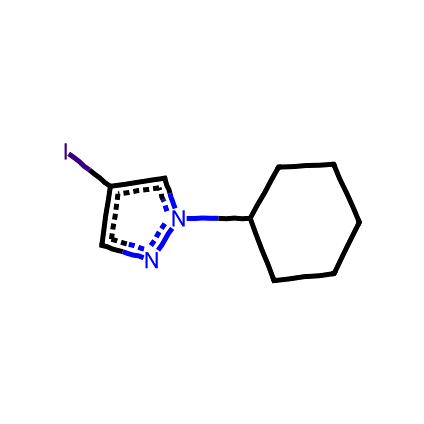 Ic1cnn(C2CCCCC2)c1